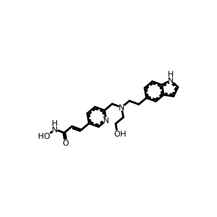 O=C(/C=C/c1ccc(CN(CCO)CCc2ccc3[nH]ccc3c2)nc1)NO